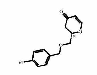 O=C1C=CO[C@@H](COCc2ccc(Br)cc2)C1